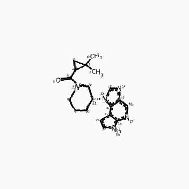 CC1(C)CC1C(=O)N1CCC[C@@H](n2cnc3cnc4[nH]ccc4c32)C1